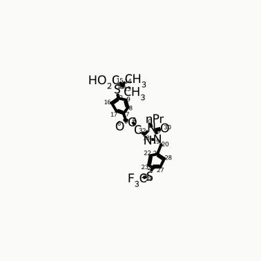 CCCn1c(COC(=O)c2ccc(SC(C)(C)C(=O)O)cc2)nn(Cc2ccc(SC(F)(F)F)cc2)c1=O